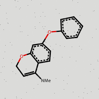 CNC1=CCOc2cc(Oc3ccccc3)ccc21